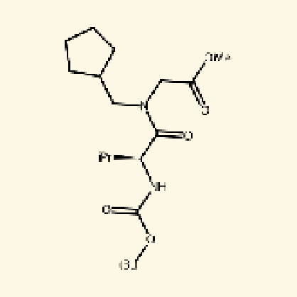 COC(=O)CN(CC1CCCC1)C(=O)[C@@H](NC(=O)OC(C)(C)C)C(C)C